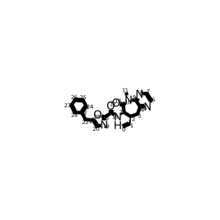 C=C[C@@H]1Cc2nccnc2N(C)C(=O)[C@@H]1NC(=O)c1ncc(Cc2ccccc2)o1